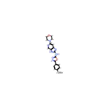 CSc1ccc(-c2nnc(Nc3nc4cc(N5CCOCC5)ncc4[nH]3)o2)cc1